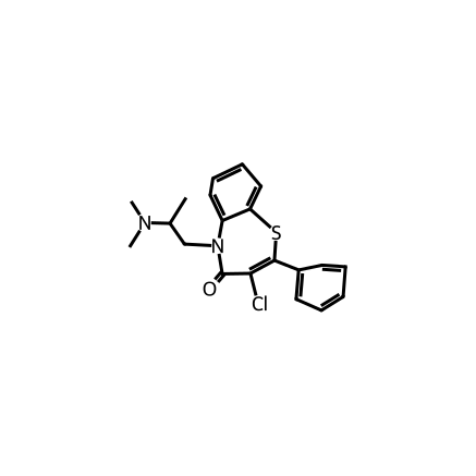 CC(CN1C(=O)C(Cl)=C(c2ccccc2)Sc2ccccc21)N(C)C